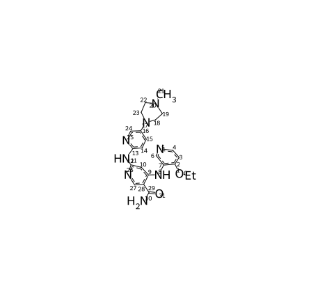 CCOc1ccncc1Nc1cc(Nc2ccc(N3CCN(C)CC3)cn2)ncc1C(N)=O